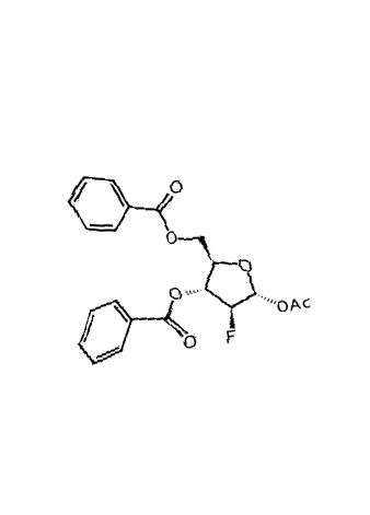 CC(=O)O[C@H]1O[C@H](COC(=O)c2ccccc2)[C@@H](OC(=O)c2ccccc2)[C@@H]1F